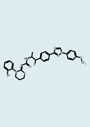 CC(C)c1ccccc1N1CCCS/C1=N\C(=O)NC(C)C(F)c1ccc(-c2ncn(-c3ccc(OC(F)(F)F)cc3)n2)cc1